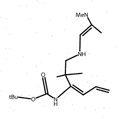 C=C/C=C(/NC(=O)OC(C)(C)C)C(C)(C)CN/C=C(\C)NC